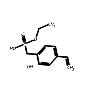 C=Cc1ccc(CP(=O)(O)OCC)cc1.[LiH]